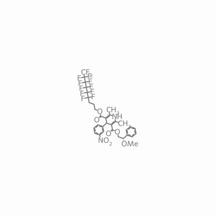 CO[C@H](COC(=O)C1=C(C)NC(C)=C(C(=O)OCCCC(F)(F)C(F)(F)C(F)(F)C(F)(F)C(F)(F)C(F)(F)F)C1c1cccc([N+](=O)[O-])c1)c1ccccc1